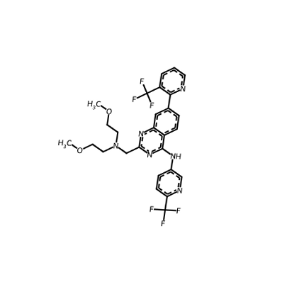 COCCN(CCOC)Cc1nc(Nc2ccc(C(F)(F)F)nc2)c2ccc(-c3ncccc3C(F)(F)F)cc2n1